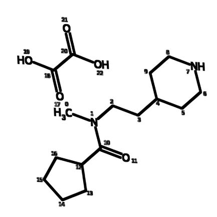 CN(CCC1CCNCC1)C(=O)C1CCCC1.O=C(O)C(=O)O